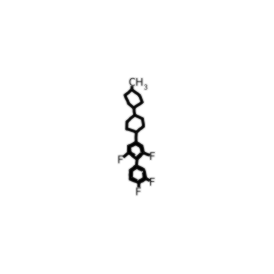 CC1CCC(C2CCC(c3cc(F)c(-c4ccc(F)c(F)c4)c(F)c3)CC2)CC1